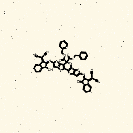 N#CC(C#N)=C1C2=CCCC=C2C(=O)/C1=N\c1cc2sc3c(c2s1)OC(C(=O)OCc1ccccc1)(C(=O)OCc1ccccc1)c1c-3sc2cc(/N=C3/C(=C(C#N)C#N)C4=CCCC=C4C3O)sc12